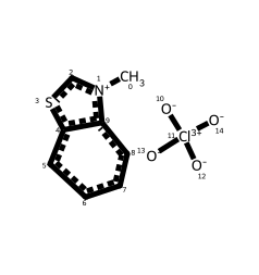 C[n+]1csc2ccccc21.[O-][Cl+3]([O-])([O-])[O-]